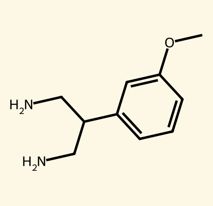 COc1cccc(C(CN)CN)c1